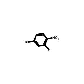 [CH2]c1cc(Br)ccc1[N+](=O)[O-]